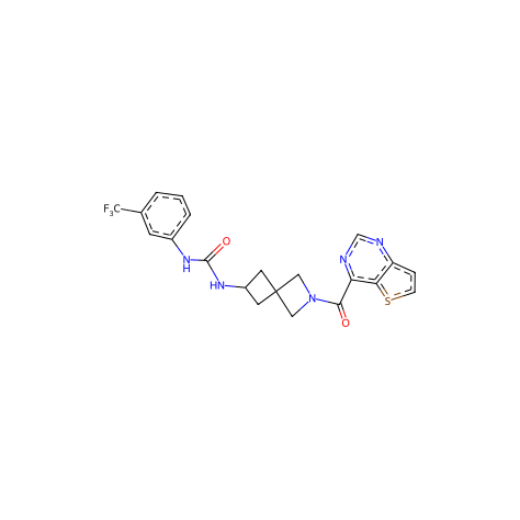 O=C(Nc1cccc(C(F)(F)F)c1)NC1CC2(C1)CN(C(=O)c1ncnc3ccsc13)C2